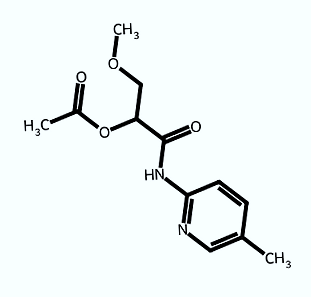 COCC(OC(C)=O)C(=O)Nc1ccc(C)cn1